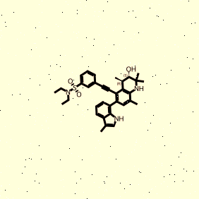 CCN(CC)S(=O)(=O)c1cccc(C#Cc2c(-c3cccc4c(C)c[nH]c34)cc(C)c3c2[C@@H](C)[C@H](O)C(C)(C)N3)c1